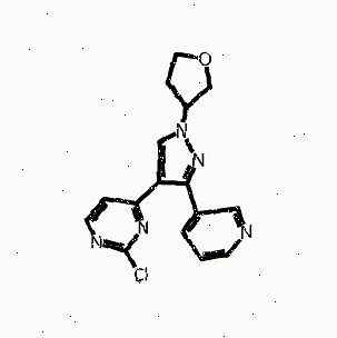 Clc1nccc(-c2cn(C3CCOC3)nc2-c2cccnc2)n1